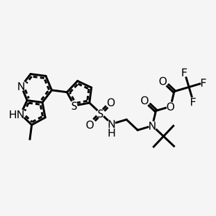 Cc1cc2c(-c3ccc(S(=O)(=O)NCCN(C(=O)OC(=O)C(F)(F)F)C(C)(C)C)s3)ccnc2[nH]1